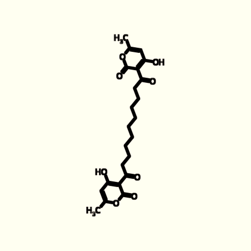 Cc1cc(O)c(C(=O)CCCCCCCCCC(=O)c2c(O)cc(C)oc2=O)c(=O)o1